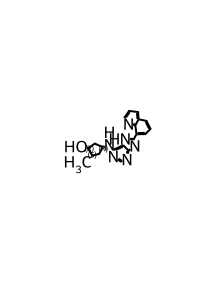 C[C@H]1C[C@@H](Nc2ncnc3nc(-c4cccc5cccnc45)[nH]c23)C[C@H]1O